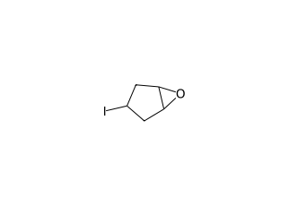 IC1CC2OC2C1